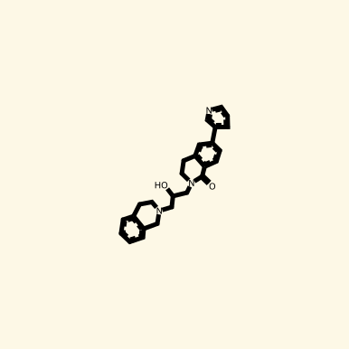 O=C1c2ccc(-c3cccnc3)cc2CCN1CC(O)CN1CCc2ccccc2C1